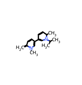 C=C1C=CC(C2=CN(C(C)C)C(C)C=C2)=CN1C